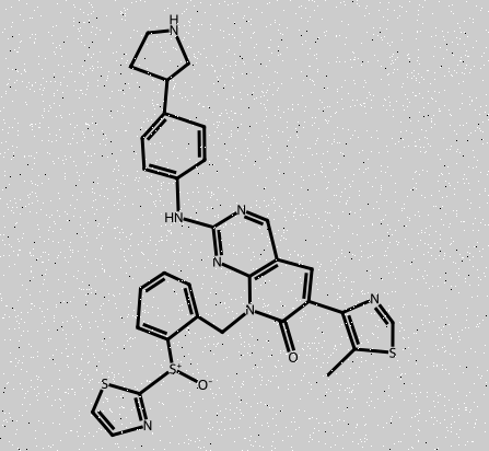 Cc1scnc1-c1cc2cnc(Nc3ccc(C4CCNC4)cc3)nc2n(Cc2ccccc2[S+]([O-])c2nccs2)c1=O